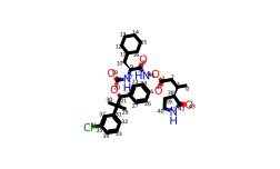 CC(CC(=O)ONC(=O)[C@H](CC1CCCCC1)NC(=O)OC(c1ccccc1)C(C)(C)c1cccc(Cl)c1)[C@@H]1CCNC1=O